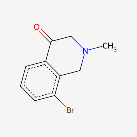 CN1CC(=O)c2cccc(Br)c2C1